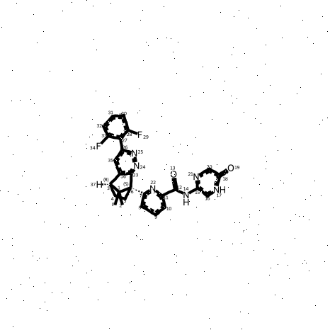 CC1(C)[C@H]2CC[C@]1(c1cccc(C(=O)Nc3c[nH]c(=O)cn3)n1)c1nnc(-c3c(F)cccc3F)cc12